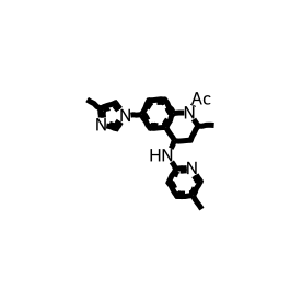 CC(=O)N1c2ccc(-n3cnc(C)c3)cc2C(Nc2ccc(C)cn2)CC1C